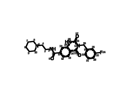 O=C(NCCN1CCCCC1)c1ccc2c(=O)n(Cc3cccc(F)c3)c(=O)[nH]c2c1